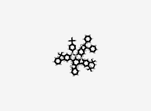 CC(C)(C)c1ccc(N2B3c4cc5oc(-c6ccccc6)c(-c6ccccc6)c5cc4-n4c5cc6c(cc5c5c7c(oc8ccccc87)c(c3c54)-c3cc4c(cc32)C(C)(C)c2ccccc2-4)C(C)(C)CCC6(C)C)cc1